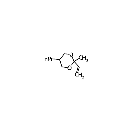 C=CC1(C)OCC(CCC)CO1